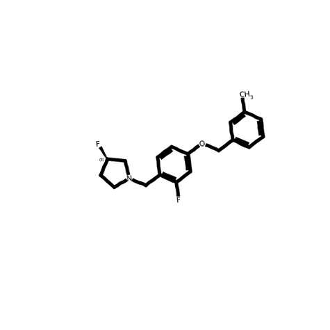 Cc1cccc(COc2ccc(CN3CC[C@@H](F)C3)c(F)c2)c1